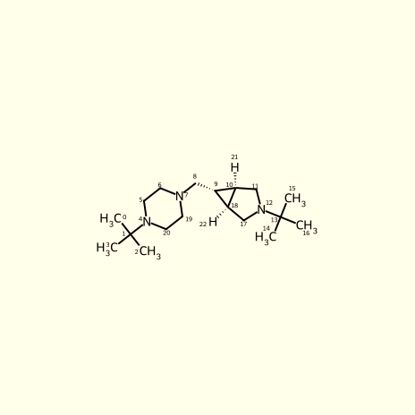 CC(C)(C)N1CCN(C[C@@H]2[C@H]3CN(C(C)(C)C)C[C@@H]23)CC1